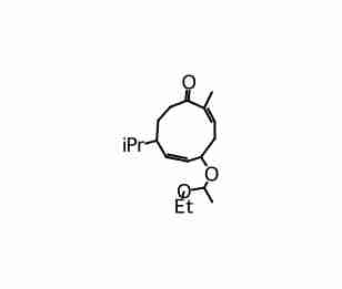 CCOC(C)OC1C=CC(C(C)C)CCC(=O)C(C)=CC1